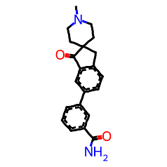 CN1CCC2(CC1)Cc1ccc(-c3cccc(C(N)=O)c3)cc1C2=O